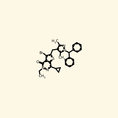 CCn1nc(C2CC2)c2sc(Cc3c(C)nn(C(c4ccccc4)c4ccccc4)c3C)c(Br)c2c1=O